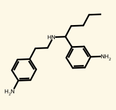 CCCCC(NCCc1ccc(N)cc1)c1cccc(N)c1